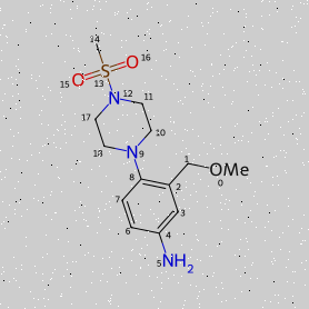 COCc1cc(N)ccc1N1CCN(S(C)(=O)=O)CC1